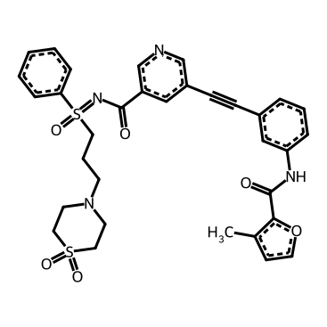 Cc1ccoc1C(=O)Nc1cccc(C#Cc2cncc(C(=O)N=S(=O)(CCCN3CCS(=O)(=O)CC3)c3ccccc3)c2)c1